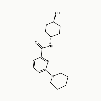 O=C(N[C@H]1CC[C@H](O)CC1)c1cccc(N2CCCCC2)n1